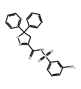 O=C(NS(=O)(=O)c1cccc([N+](=O)[O-])c1)C1=NOC(c2ccccc2)(c2ccccc2)C1